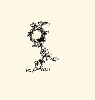 CCCC[C@H](NC(=O)CN1CCC(NC(=O)C(CCCCNC(=O)N2CCN(CC(=O)O)CCN(CC(=O)O)CCN(CC(=O)O)CC2)NC(=O)CNC(=O)CCCc2ccc(C)cc2)CC1)C(=O)N[C@H]1CC(=O)NCCCC[C@@H](C(N)=O)N(C)C(=O)[C@H](Cc2c[nH]c3ccccc23)NC(=O)[C@H](CCCNC(=N)N)N(C)C(=O)[C@@H](Cc2ccccc2)NC(=O)[C@H](Cc2cnc[nH]2)NC1=O